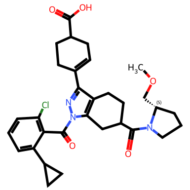 COC[C@@H]1CCCN1C(=O)C1CCc2c(C3=CCC(C(=O)O)CC3)nn(C(=O)c3c(Cl)cccc3C3CC3)c2C1